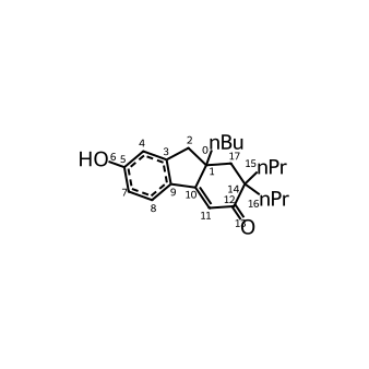 CCCCC12Cc3cc(O)ccc3C1=CC(=O)C(CCC)(CCC)C2